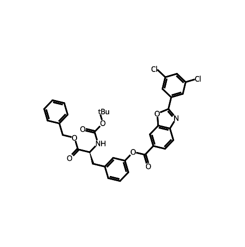 CC(C)(C)OC(=O)N[C@@H](Cc1cccc(OC(=O)c2ccc3nc(-c4cc(Cl)cc(Cl)c4)oc3c2)c1)C(=O)OCc1ccccc1